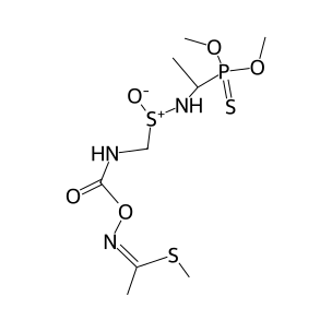 COP(=S)(OC)C(C)N[S+]([O-])CNC(=O)ON=C(C)SC